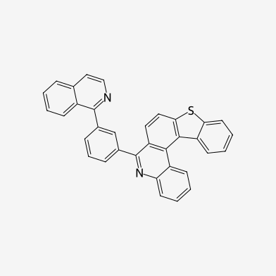 c1cc(-c2nccc3ccccc23)cc(-c2nc3ccccc3c3c2ccc2sc4ccccc4c23)c1